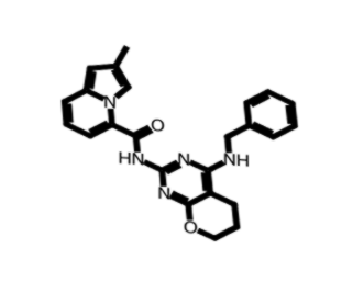 Cc1cc2cccc(C(=O)Nc3nc(NCc4ccccc4)c4c(n3)OCCC4)n2c1